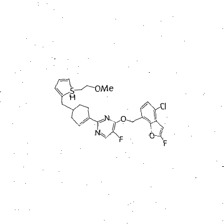 COCC[SH]1C=CC=C1CC1CC=C(c2ncc(F)c(OCc3ccc(Cl)c4cc(F)oc34)n2)CC1